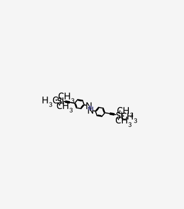 C[Si](C)(C)C#Cc1ccc(/N=N/c2ccc(C#C[Si](C)(C)C)cc2)cc1